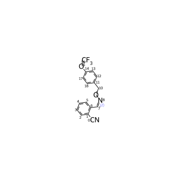 N#Cc1ccccc1/[C]=N\OCc1ccc(OC(F)(F)F)cc1